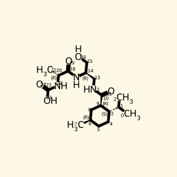 CC(C)[C@@H]1CC[C@@H](C)C[C@H]1C(=O)NC[C@H](CO)NC(=O)[C@@H](C)NC(=O)O